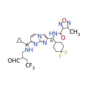 Cc1nonc1C(=O)N[C@H](c1cn2ccc([C@H](NCC(C=O)CC(F)(F)F)C3CC3)nc2n1)C1CCC(F)(F)CC1